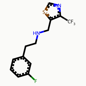 Fc1cccc(CCNCc2s[c]nc2C(F)(F)F)c1